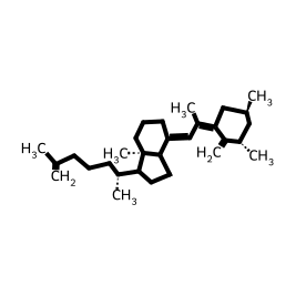 C=C(C)CCC[C@@H](C)C1CCC2/C(=C/C(C)=C3/C[C@@H](C)C[C@H](C)C3=C)CCC[C@@]21C